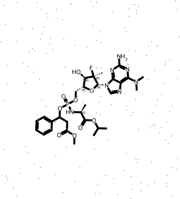 COC(=O)CC(OP(=O)(N[C@@H](C)C(=O)OC(C)C)OC[C@H]1O[C@@H](n2cnc3c(N(C)C)nc(N)nc32)[C@](C)(F)[C@@H]1O)c1ccccc1